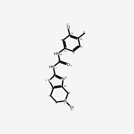 CCN1CCc2sc(NC(=O)Nc3ccc(C)c(Cl)c3)nc2C1